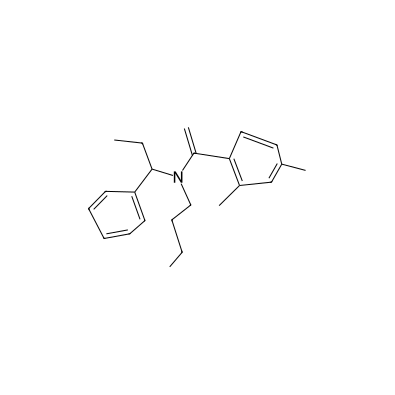 C=C(c1ccc(C)cc1C)N(CCCC)C(CC)c1ccccc1